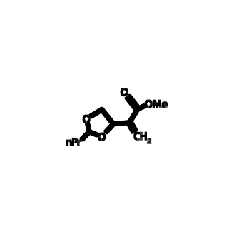 C=C(C(=O)OC)C1COC(CCC)O1